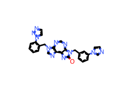 O=c1nc2c3ncn(Cc4ccccc4-n4ccnn4)c3ncnc-2n1Cc1cccc(-n2ccnc2)c1